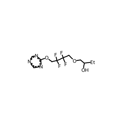 CCC(O)COCC(F)(F)C(F)(F)COc1ncncn1